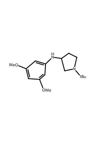 COc1cc(NC2CCN(C(C)(C)C)C2)cc(OC)c1